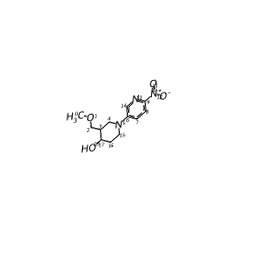 COCC1CN(c2ccc([N+](=O)[O-])nc2)CCC1O